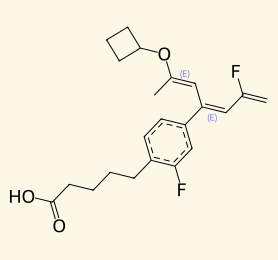 C=C(F)/C=C(\C=C(/C)OC1CCC1)c1ccc(CCCCC(=O)O)c(F)c1